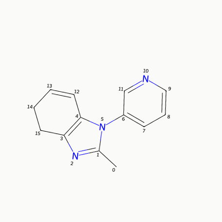 Cc1nc2c(n1-c1cccnc1)C=CCC2